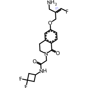 NC/C(=C/F)COc1ccc2c(c1)CCN(CC(=O)NC1CC(F)(F)C1)C2=O